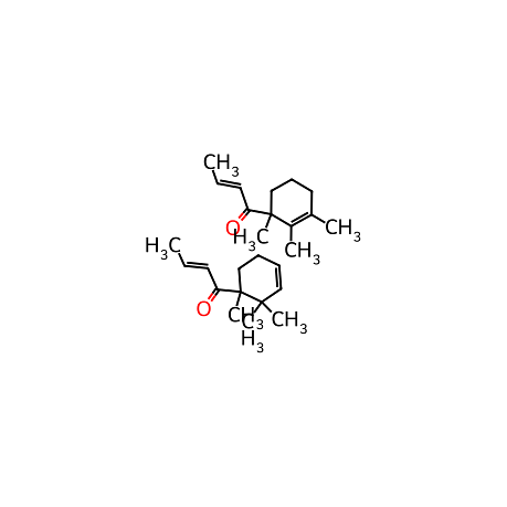 CC=CC(=O)C1(C)CCC=CC1(C)C.CC=CC(=O)C1(C)CCCC(C)=C1C